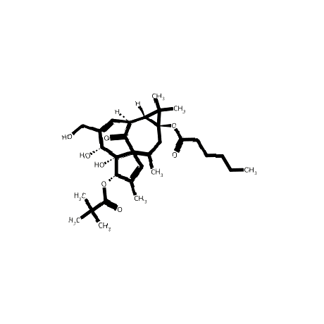 CCCCCC(=O)O[C@@]12CC(C)C34C=C(C)[C@H](OC(=O)C(C)(C)C)[C@@]3(O)[C@H](O)C(CO)=C[C@H](C4=O)[C@@H]1C2(C)C